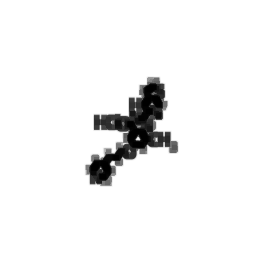 Cc1cc(OCCCc2ccncc2)cc2c(=O)[nH]c(-c3cc4ccsc4cn3)nc12.Cl